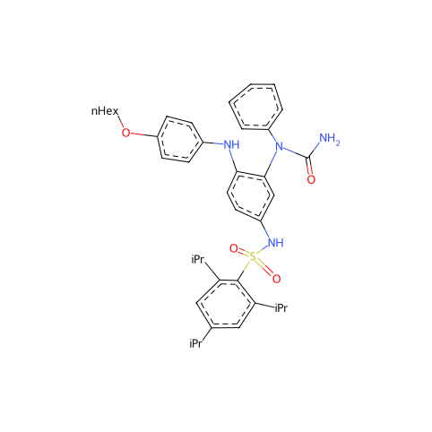 CCCCCCOc1ccc(Nc2ccc(NS(=O)(=O)c3c(C(C)C)cc(C(C)C)cc3C(C)C)cc2N(C(N)=O)c2ccccc2)cc1